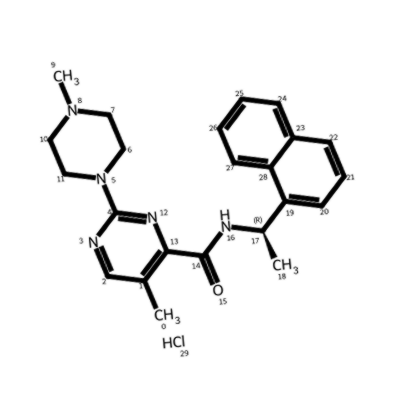 Cc1cnc(N2CCN(C)CC2)nc1C(=O)N[C@H](C)c1cccc2ccccc12.Cl